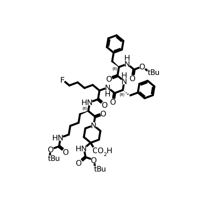 CC(C)(C)OC(=O)NCCCC[C@@H](NC(=O)C(CCCCF)NC(=O)[C@@H](Cc1ccccc1)NC(=O)[C@@H](Cc1ccccc1)NC(=O)OC(C)(C)C)C(=O)N1CCC(NC(=O)OC(C)(C)C)(C(=O)O)CC1